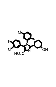 Cc1ccc(Cl)cc1-n1c(C2CCCC(O)C2)nc(C(=O)O)c1-c1ccc(F)c(Cl)c1